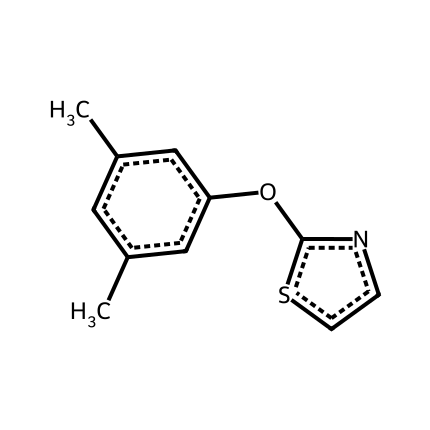 Cc1cc(C)cc(Oc2nccs2)c1